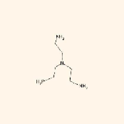 NCCN(CCN)CCP